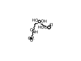 O=C(CCC/C=C\C[C@@H]1[C@@H](/C=C/[C@@H](O)COc2cccc(Cl)c2)[C@H](O)C[C@@H]1O)NCCCO[N+](=O)[O-]